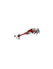 NNC(=O)CCCCCCCCCCNCC(O)COc1ccc(CC(CN(CC(=O)O)CC(=O)O)N(CCN(CC(=O)O)CC(=O)O)CC(=O)O)cc1